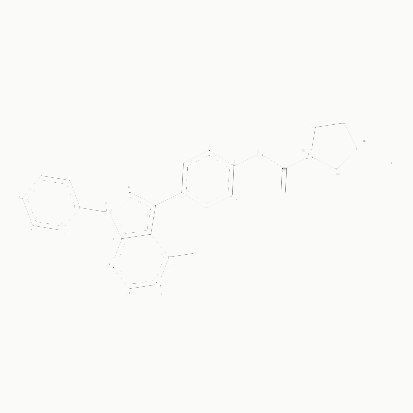 O=C(Nc1ccc(-c2cn(-c3ccccc3)c3ncnc(Cl)c23)cc1)N1CC[C@H](O)C1